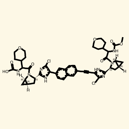 COC(=O)NC(C(=O)N1[C@@H]2C[C@@H]2C[C@H]1c1nc(Cl)c(C#Cc2ccc3cc(-c4[nH]c([C@@H]5C[C@H]6C[C@H]6N5C(=O)C(NC(=O)O)C5CCOCC5)nc4Cl)ccc3c2)[nH]1)C1CCOCC1